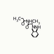 CCC(=O)NC(=O)C(C)N1C=c2ccccc2=CN1